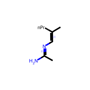 CCC/C(C)=C\N=C(/C)N